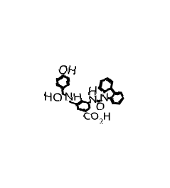 O=C(O)C1=CC(CNC(O)c2ccc(O)cc2)=CC(NC(=O)N2c3ccccc3C3C=CC=CC32)C1